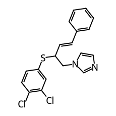 Clc1ccc(SC(/C=C/c2ccccc2)Cn2ccnc2)cc1Cl